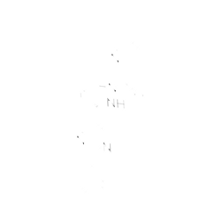 O=C(NNC(=O)c1ccccn1)c1cnc(-c2ccccc2)nc1